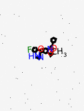 CS(=O)(=O)N(CCc1ccccc1)c1cc2oc(-c3ccc(F)cc3)c(-c3ncc[nH]3)c2cc1C1CC1